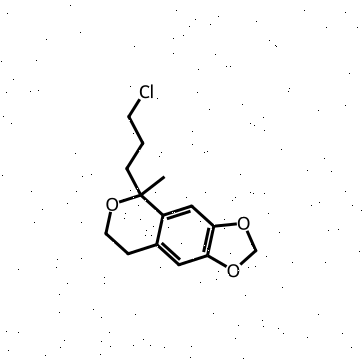 CC1(CCCCl)OCCc2cc3c(cc21)OCO3